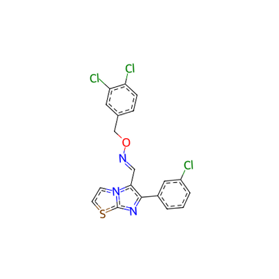 Clc1cccc(-c2nc3sccn3c2C=NOCc2ccc(Cl)c(Cl)c2)c1